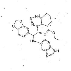 C=C(C(Nc1ccc2[nH]cnc2c1)c1ccc2c(c1)OCO2)N(/N=N\N)C1CCCCC1C(=O)OCC